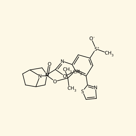 C[S+]([O-])c1cc(-c2nccs2)c2oc(N3CC4CCC(C3)N4C(=O)OC(C)(C)C)nc2c1